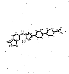 CCn1nc(-c2ccc(-c3ccc(C4CC4)nc3)cc2)nc1Nc1ccc2c(c1)CNC2=O